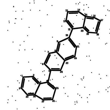 c1ccc2c(-c3ccc4cc(-c5cccc6ccccc56)ccc4c3)cccc2c1